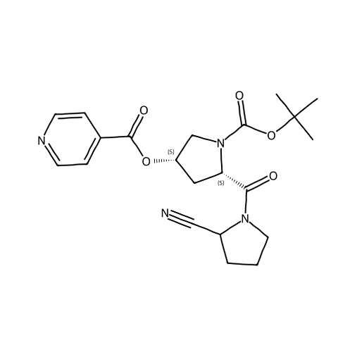 CC(C)(C)OC(=O)N1C[C@@H](OC(=O)c2ccncc2)C[C@H]1C(=O)N1CCCC1C#N